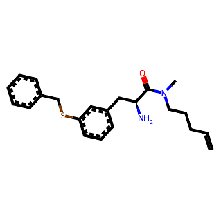 C=CCCCN(C)C(=O)[C@@H](N)Cc1cccc(SCc2ccccc2)c1